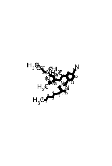 CCCCCCc1cnc(-c2ccc(C#N)cc2[C@@H](C)Cc2cc(N(C)CCOC)nc(C)n2)nc1